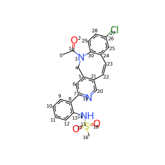 CC(=O)N1Cc2cc(-c3ccccc3NS(C)(=O)=O)ncc2/C=C\c2cc(Cl)ccc21